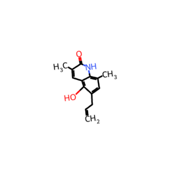 C=CCc1cc(C)c2[nH]c(=O)c(C)cc2c1O